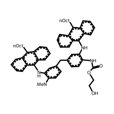 CCCCCCCCc1c2ccccc2c(Nc2cc(Cc3ccc(NC(=O)OCCO)c(Nc4c5ccccc5c(CCCCCCCC)c5ccccc45)c3)ccc2NC)c2ccccc12